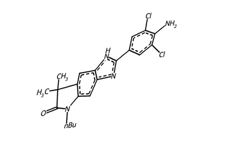 CCCCN1C(=O)C(C)(C)c2cc3[nH]c(-c4cc(Cl)c(N)c(Cl)c4)nc3cc21